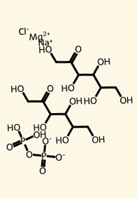 O=C(CO)C(O)C(O)C(O)CO.O=C(CO)C(O)C(O)C(O)CO.O=P([O-])([O-])OP(=O)(O)O.[Cl-].[Mg+2].[Na+]